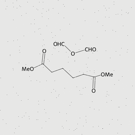 COC(=O)CCCCC(=O)OC.O=COC=O